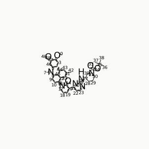 COc1ccc(N(C)c2cccc3c(Oc4ncccc4-c4ccnc(N[C@H]5CCCN(C(=O)OC(C)(C)C)C5)n4)c(C)ccc23)cc1OC